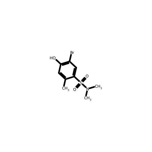 Cc1cc(O)c(Br)cc1S(=O)(=O)N(C)C